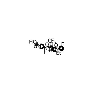 CCc1cc2c(c(OCC(F)(F)F)c(C(=O)NC3CCN(C(=O)CO)CC3)n2C)c(=O)n1-c1cccc(F)c1